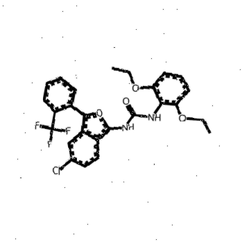 CCOc1cccc(OCC)c1NC(=O)Nc1oc(-c2ccccc2C(F)(F)F)c2cc(Cl)ccc12